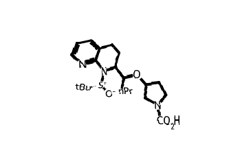 CCCC(OC1CCN(C(=O)O)C1)C1CCc2cccnc2N1[S@+]([O-])C(C)(C)C